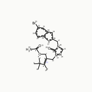 CC(C)(C)/C(F)=C(\COC(N)=O)Cn1ncn(Cc2cc3cc(Br)ccc3s2)c1=O